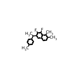 Cc1ccc(C(C)c2cc3ccc(C)c(C)c3c(F)c2F)cc1